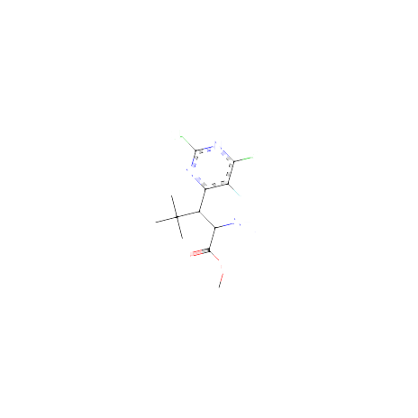 COC(=O)C(N)C(c1nc(Cl)nc(Cl)c1F)C(C)(C)C